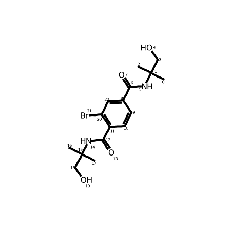 CC(C)(CO)NC(=O)c1ccc(C(=O)NC(C)(C)CO)c(Br)c1